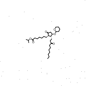 CCCCCCCC(=O)CC[C@H]1[C@H](OC2CCCCO2)CC(=O)[C@@H]1CCCCCCC(=O)OC(C)C